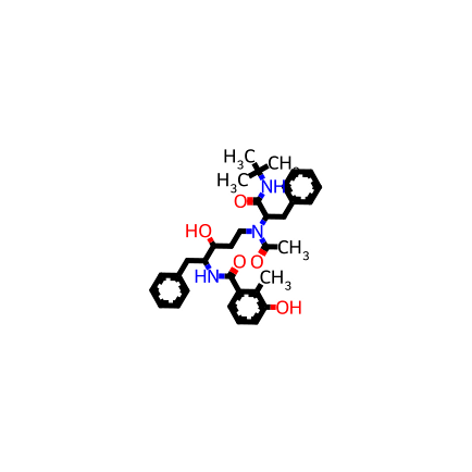 CC(=O)N(CCC(O)C(Cc1ccccc1)NC(=O)c1cccc(O)c1C)C(Cc1ccccc1)C(=O)NC(C)(C)C